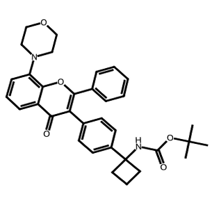 CC(C)(C)OC(=O)NC1(c2ccc(-c3c(-c4ccccc4)oc4c(N5CCOCC5)cccc4c3=O)cc2)CCC1